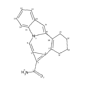 NC(=O)C1=C2C1=Cn1c(cc3ccccc31)C1=C2CCCC1